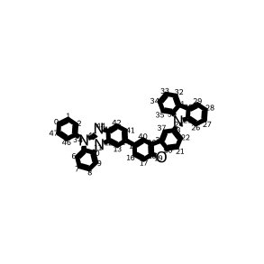 c1ccc(-n2c3ccccc3n3c4cc(-c5ccc6oc7ccc(-n8c9ccccc9c9ccccc98)cc7c6c5)ccc4nc23)cc1